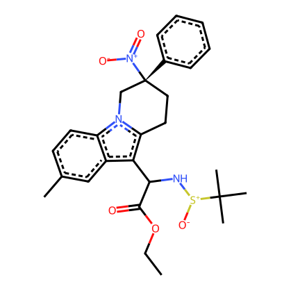 CCOC(=O)C(N[S+]([O-])C(C)(C)C)c1c2n(c3ccc(C)cc13)C[C@](c1ccccc1)([N+](=O)[O-])CC2